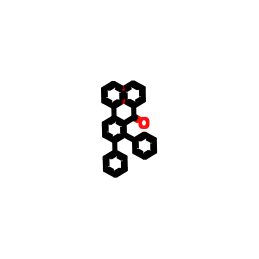 O=C(c1ccccc1)c1c(-c2ccccc2)ccc(-c2ccccc2)c1-c1ccccc1